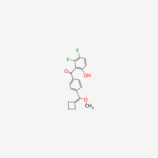 COC(=C1CCC1)c1ccc(C(=O)c2c(O)ccc(F)c2F)cc1